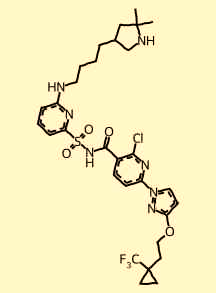 CC1(C)CC(CCCCNc2cccc(S(=O)(=O)NC(=O)c3ccc(-n4ccc(OCCC5(C(F)(F)F)CC5)n4)nc3Cl)n2)CN1